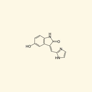 O=C1Nc2ccc(O)cc2C1=Cc1ncc[nH]1